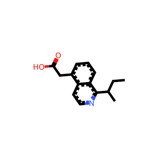 CCC(C)c1nccc2c(CC(=O)O)cccc12